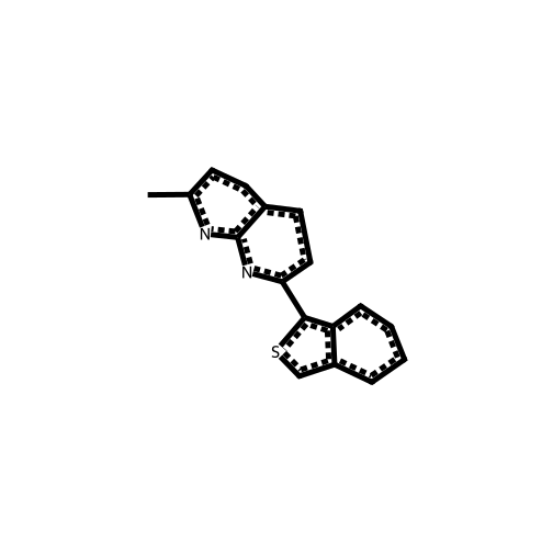 Cc1ccc2ccc(-c3scc4ccccc34)nc2n1